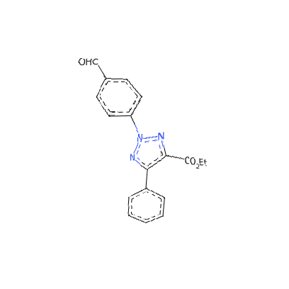 CCOC(=O)c1nn(-c2ccc(C=O)cc2)nc1-c1ccccc1